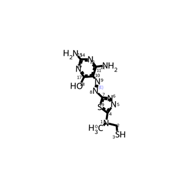 CN(CS)c1nnc(/N=N/c2c(N)nc(N)nc2O)s1